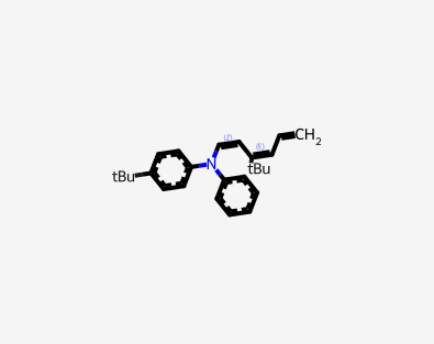 C=C/C=C(\C=C/N(c1ccccc1)c1ccc(C(C)(C)C)cc1)C(C)(C)C